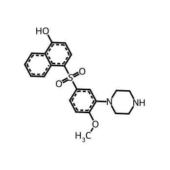 COc1ccc(S(=O)(=O)c2ccc(O)c3ccccc23)cc1N1CCNCC1